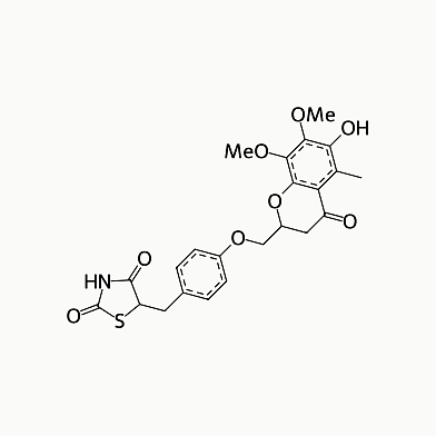 COc1c(O)c(C)c2c(c1OC)OC(COc1ccc(CC3SC(=O)NC3=O)cc1)CC2=O